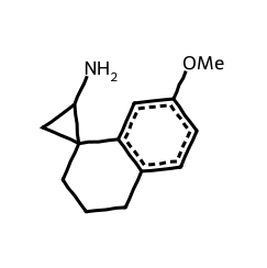 COc1ccc2c(c1)C1(CCC2)CC1N